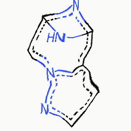 c1cc2c3nc(cn2n1)N3